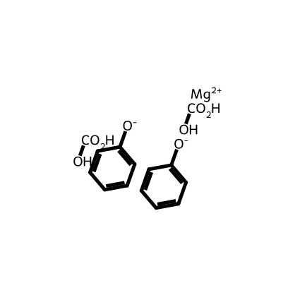 O=C(O)O.O=C(O)O.[Mg+2].[O-]c1ccccc1.[O-]c1ccccc1